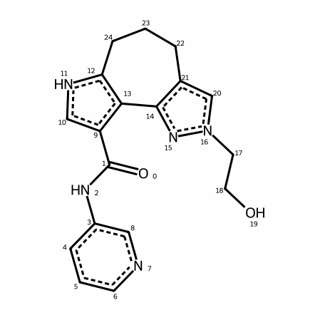 O=C(Nc1cccnc1)c1c[nH]c2c1-c1nn(CCO)cc1CCC2